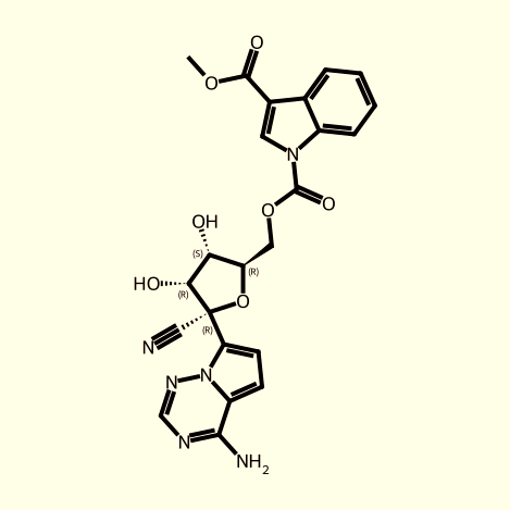 COC(=O)c1cn(C(=O)OC[C@H]2O[C@@](C#N)(c3ccc4c(N)ncnn34)[C@H](O)[C@@H]2O)c2ccccc12